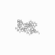 C=CCOCCCOc1cc(C(C(=O)N2CCCCC2C(=O)OC(CCc2ccc(OC)c(OC)c2)c2cccc(OCC=C)c2)C2CCCCC2)cc(OC)c1OC